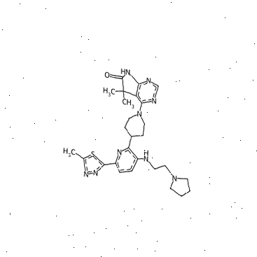 Cc1nnc(-c2ccc(NCCN3CCCC3)c(C3CCN(c4ncnc5c4C(C)(C)C(=O)N5)CC3)n2)s1